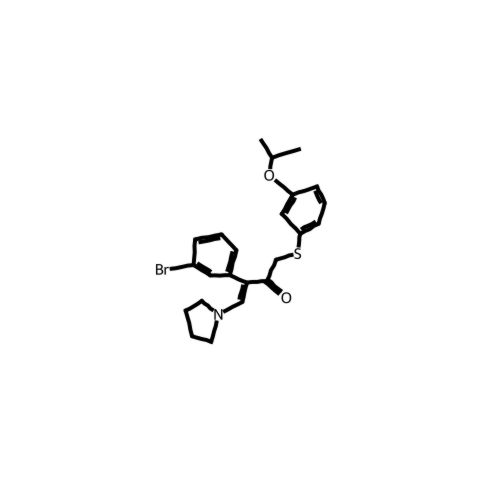 CC(C)Oc1cccc(SCC(=O)/C(=C/N2CCCC2)c2cccc(Br)c2)c1